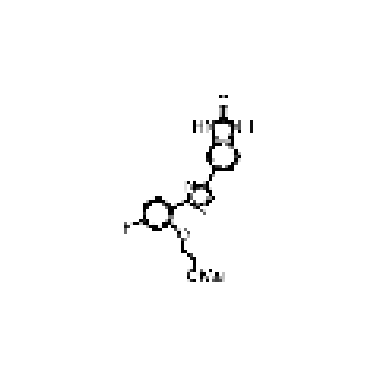 COCCOc1cc(F)ccc1-c1nc(-c2ccc3[nH]c(=O)[nH]c3c2)cs1